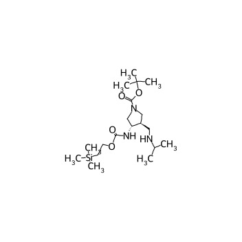 CC(C)NC[C@@H]1CN(C(=O)OC(C)(C)C)C[C@H]1NC(=O)OCC[Si](C)(C)C